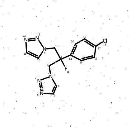 FC(Cn1ccnn1)(Cn1ccnn1)c1ccc(Cl)cc1